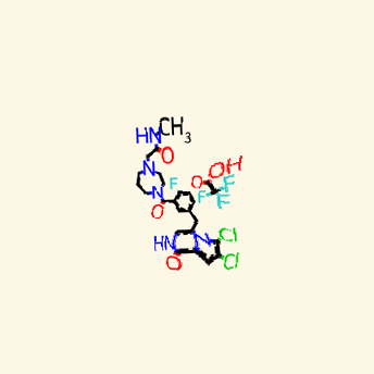 CNC(=O)CN1CCCN(C(=O)c2cc(Cc3c[nH]c(=O)c4cc(Cl)c(Cl)n34)ccc2F)CC1.O=C(O)C(F)(F)F